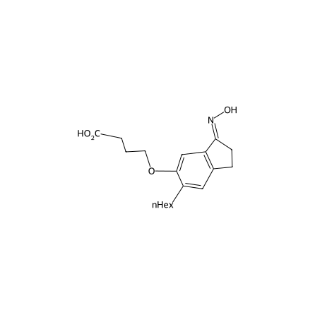 CCCCCCc1cc2c(cc1OCCCC(=O)O)C(=NO)CC2